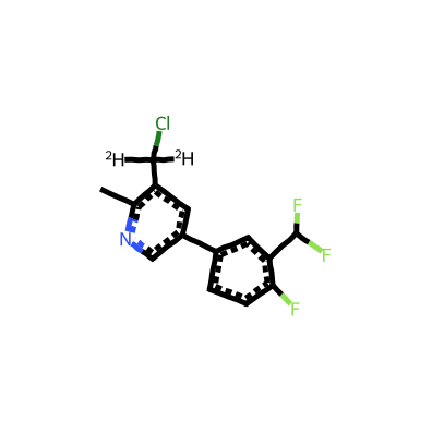 [2H]C([2H])(Cl)c1cc(-c2ccc(F)c(C(F)F)c2)cnc1C